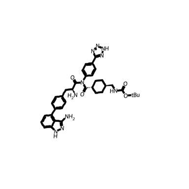 CC(C)(C)OC(=O)NC[C@H]1CC[C@H](C(=O)N(C(=O)[C@@H](N)Cc2ccc(-c3cccc4[nH]nc(N)c34)cc2)c2ccc(-c3nn[nH]n3)cc2)CC1